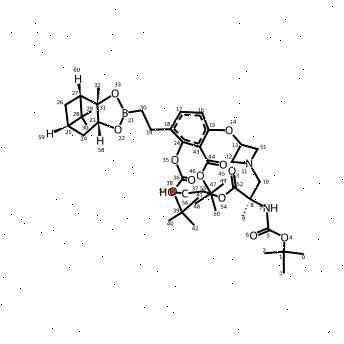 CC(C)(C)OC(=O)N[C@](C)(CN1CC(Oc2ccc(CCB3O[C@@H]4C[C@@H]5C[C@@H](C5(C)C)[C@]4(C)O3)c(OC(=O)OC(C)(C)C)c2C(=O)OC(C)(C)C)C1)C(=O)OCCO